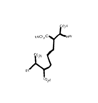 CCCC(C(=O)O)C(CCCC(C(=O)O)C(CC)C(=O)O)C(=O)O